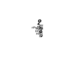 CCCSc1nc(NC2CC2c2ccccc2)c2nnn([C@@H]3C[C@H](Cn4ccnc4)[C@@H](O)[C@H]3O)c2n1